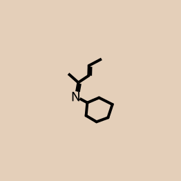 CC=CC(C)=NC1CCCCC1